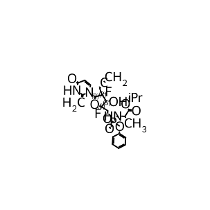 C=C=C[C@]1(F)[C@H](N2C=CC(=O)NC2=C)O[C@](F)(COP(=O)(NC(C)C(=O)OC(C)C)Oc2ccccc2)[C@H]1O